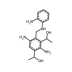 CC(O)c1cc(N)c(CNc2ccccc2N)c(C(C)O)c1N